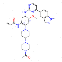 C=CC(=O)N/C(C)=C(/C=C(/OC)C(C)Nc1nccc(-c2ccc3c(cnn3C)c2)n1)N1CCC(N2CCN(C(C)=O)CC2)CC1